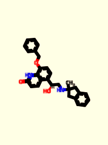 CC1(NC[C@H](O)c2ccc(OCc3ccccc3)c3[nH]c(=O)ccc23)Cc2ccccc2C1